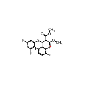 COC(=O)C(C(=O)OC)C(Sc1cc(F)cc(F)c1)c1c(F)ccc(F)c1F